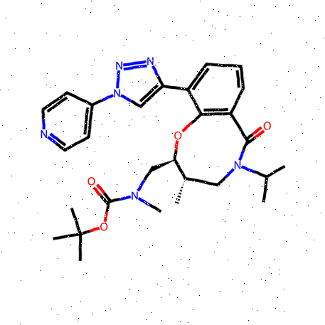 CC(C)N1C[C@H](C)[C@@H](CN(C)C(=O)OC(C)(C)C)Oc2c(cccc2-c2cn(-c3ccncc3)nn2)C1=O